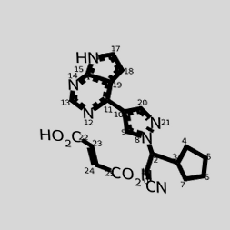 N#CCC(C1CCCC1)n1cc(-c2ncnc3[nH]ccc23)cn1.O=C(O)C=CC(=O)O